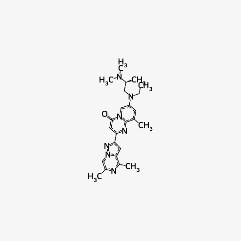 CCN(C[C@H](C)N(C)C)c1cc(C)c2nc(-c3cc4c(C)nc(C)cn4n3)cc(=O)n2c1